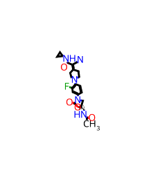 CC(=O)NC[C@H]1CN(c2ccc(N3CCC(=C(C#N)C(=O)NC4CC4)CC3)c(F)c2)C(=O)O1